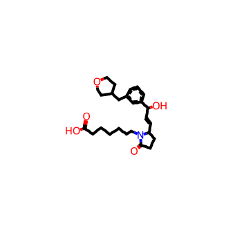 O=C(O)CCCCCCN1C(=O)CCC1C=CC(O)c1cccc(CC2CCOCC2)c1